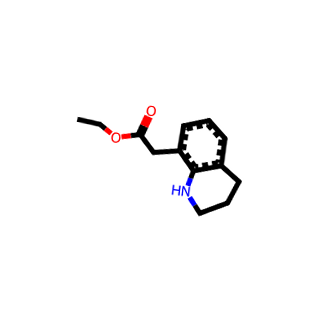 CCOC(=O)Cc1cccc2c1NCCC2